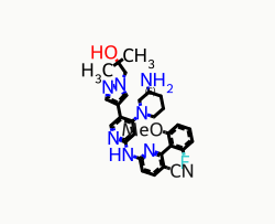 COc1cccc(F)c1-c1nc(Nc2cc(N3CCC[C@H](N)C3)c(-c3cnn(CC(C)(C)O)c3)cn2)ccc1C#N